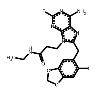 CCNC(=O)CCn1c(Cc2cc3c(cc2I)OCO3)nc2c(N)nc(F)nc21